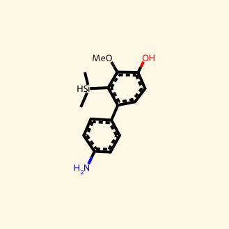 COc1c(O)ccc(-c2ccc(N)cc2)c1[SiH](C)C